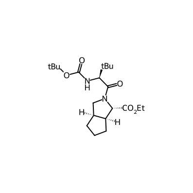 CCOC(=O)[C@@H]1[C@H]2CCC[C@H]2CN1C(=O)[C@@H](NC(=O)OC(C)(C)C)C(C)(C)C